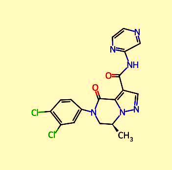 C[C@H]1CN(c2ccc(Cl)c(Cl)c2)C(=O)c2c(C(=O)Nc3cnccn3)cnn21